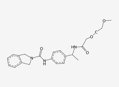 COCCOCC(=O)NC(C)c1ccc(NC(=O)N2Cc3ccccc3C2)cc1